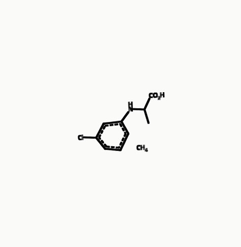 C.CC(Nc1cccc(Cl)c1)C(=O)O